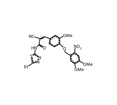 CCc1nnc(NC(=O)/C(C#N)=C\c2ccc(OCc3cc(OC)c(OC)cc3[N+](=O)[O-])c(OC)c2)s1